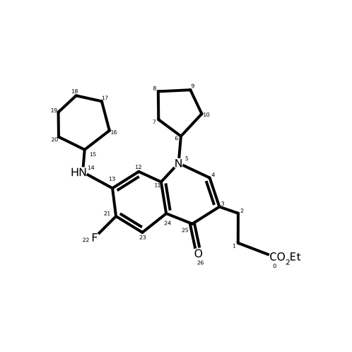 CCOC(=O)CCc1cn(C2CCCC2)c2cc(NC3CCCCC3)c(F)cc2c1=O